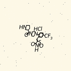 Cl.O=C1NC(=O)C(=Cc2cc(C(F)(F)F)ccc2N2CCN(C(=O)C3CCCNC3)CC2)S1